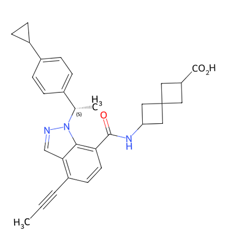 CC#Cc1ccc(C(=O)NC2CC3(C2)CC(C(=O)O)C3)c2c1cnn2[C@@H](C)c1ccc(C2CC2)cc1